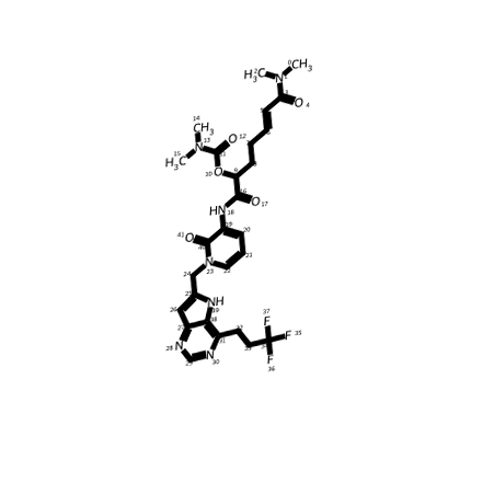 CN(C)C(=O)C=CCCC(OC(=O)N(C)C)C(=O)Nc1cccn(Cc2cc3ncnc(CCC(F)(F)F)c3[nH]2)c1=O